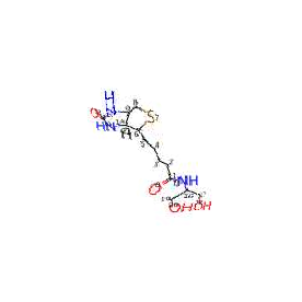 O=C(CCCC[C@@H]1SCC2NC(=O)N[C@@H]21)NC(CO)CO